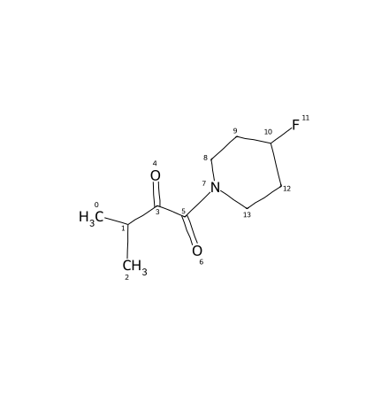 CC(C)C(=O)C(=O)N1CCC(F)CC1